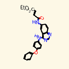 CCOC(=O)C=CC(=O)Nc1ccc2ncnc(Nc3ccc(Oc4ccccc4)cc3)c2c1